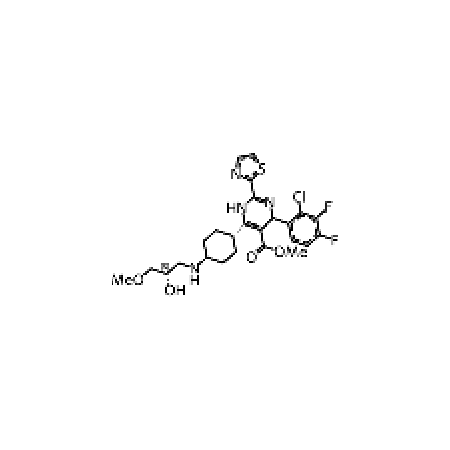 COC[C@@H](O)CN[C@H]1CC[C@H](C2=C(C(=O)OC)C(c3ccc(F)c(F)c3Cl)N=C(c3nccs3)N2)CC1